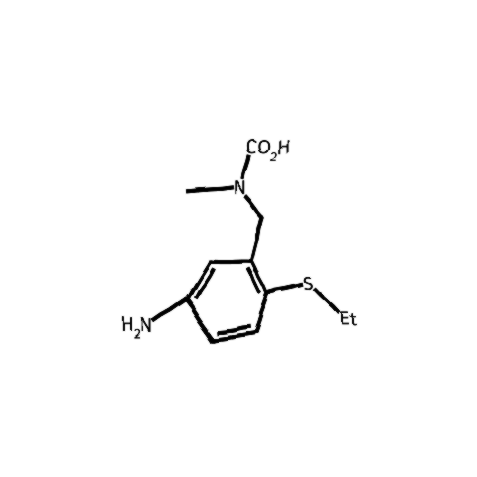 CCSc1ccc(N)cc1CN(C)C(=O)O